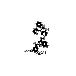 COc1cc(C(=O)N(C)CC(CCN2CCC(Nc3nc4ccccc4n3Cc3ccccn3)CC2)c2ccc(F)cc2)cc(OC)c1OC